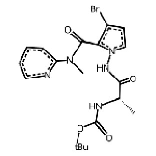 C[C@H](NC(=O)OC(C)(C)C)C(=O)Nn1ccc(Br)c1C(=O)N(C)c1ccccn1